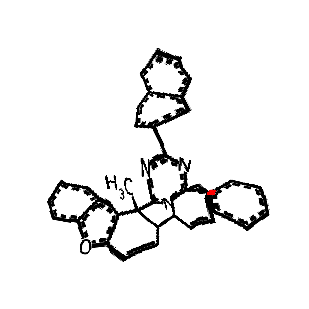 CC1(c2nc(-c3ccccc3)nc(-c3ccc4ccccc4c3)n2)c2c(oc3ccccc23)C=CC1C1C=CC=CC1